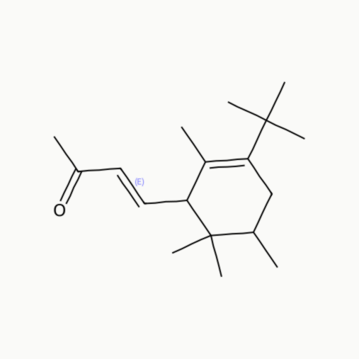 CC(=O)/C=C/C1C(C)=C(C(C)(C)C)CC(C)C1(C)C